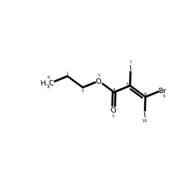 CCCOC(=O)C(I)=C(Br)I